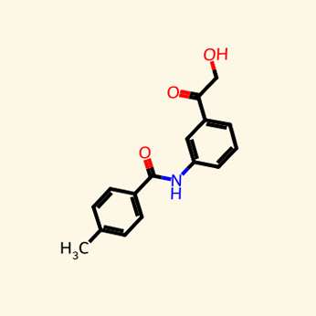 Cc1ccc(C(=O)Nc2cccc(C(=O)CO)c2)cc1